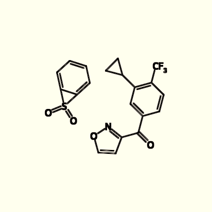 O=C(c1ccc(C(F)(F)F)c(C2CC2)c1)c1ccon1.O=S1(=O)c2ccccc21